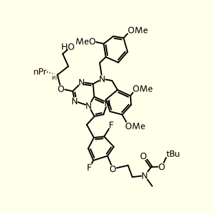 CCC[C@H](CCO)Oc1nc(N(Cc2ccc(OC)cc2OC)Cc2ccc(OC)cc2OC)c2ncc(Cc3cc(F)c(OCCN(C)C(=O)OC(C)(C)C)cc3F)n2n1